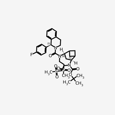 CC(C)(C)OC(=O)N(CCS(C)(=O)=O)[C@H]1C[C@@H](N(CCS(C)(=O)=O)C(=O)N2CCc3ccccc3[C@@H]2c2ccc(F)cc2)C2CC1C2